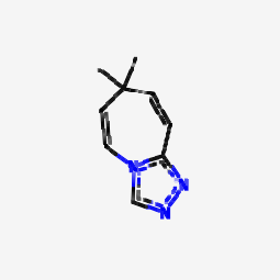 CC1(C)C=Cc2nncn2C=C1